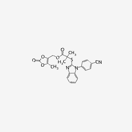 Cc1oc(=O)oc1COC(=O)C(C)(C)Sc1nc2ccccc2n1-c1ccc(C#N)cc1